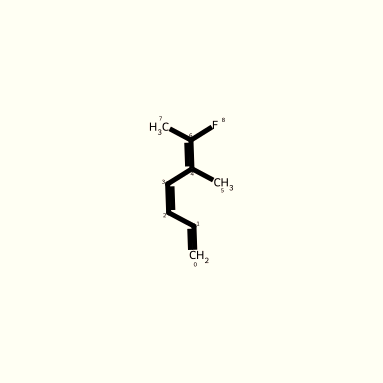 C=C/C=C\C(C)=C(/C)F